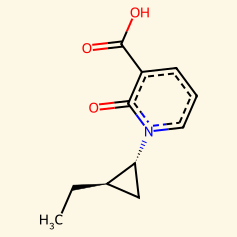 CC[C@@H]1C[C@H]1n1cccc(C(=O)O)c1=O